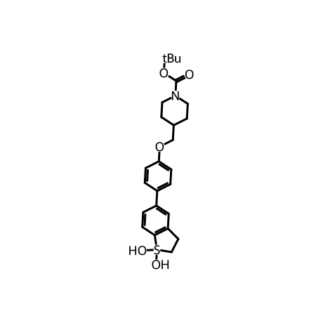 CC(C)(C)OC(=O)N1CCC(COc2ccc(-c3ccc4c(c3)CCS4(O)O)cc2)CC1